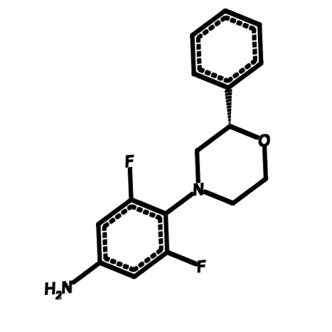 Nc1cc(F)c(N2CCO[C@@H](c3ccccc3)C2)c(F)c1